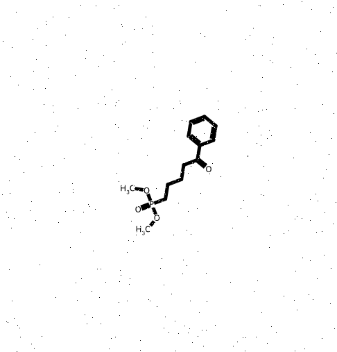 COP(=O)(CCCCC(=O)c1ccccc1)OC